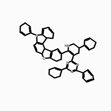 C1=CCC2C(=C1)N(C1=CCCC=C1)C1=C2C2C3=C(CCC(C4=C(c5nc(C6=CCCCC6)nc(-c6ccccc6)n5)CC(C5=CCCC=C5)CN4)=C3)OC2C=C1